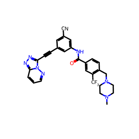 CN1CCN(Cc2ccc(C(=O)Nc3cc(C#N)cc(C#Cc4nnc5cccnn45)c3)cc2C(F)(F)F)CC1